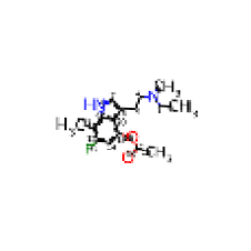 CCN(C)CCc1c[nH]c2c(C)c(F)cc(OC(C)=O)c12